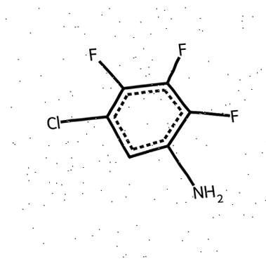 Nc1cc(Cl)c(F)c(F)c1F